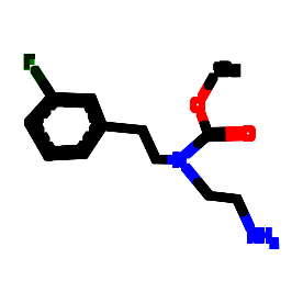 CC(C)(C)OC(=O)N(CCN)CCc1cccc(F)c1